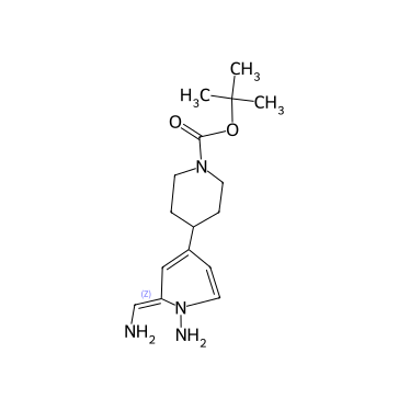 CC(C)(C)OC(=O)N1CCC(C2=C/C(=C/N)N(N)C=C2)CC1